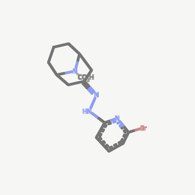 O=C(O)N1C2CCCC1CC(=NNc1cccc(Br)n1)C2